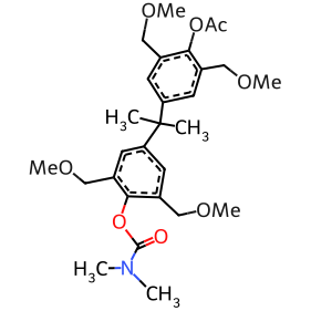 COCc1cc(C(C)(C)c2cc(COC)c(OC(=O)N(C)C)c(COC)c2)cc(COC)c1OC(C)=O